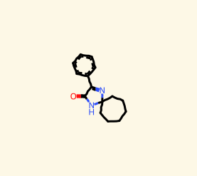 O=C1NC2(CCCCCC2)N=C1c1ccccc1